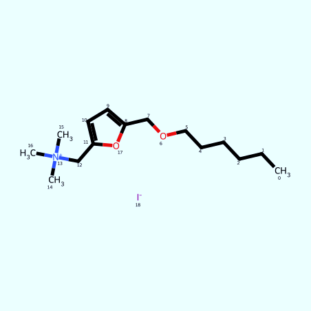 CCCCCCOCc1ccc(C[N+](C)(C)C)o1.[I-]